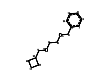 [c]1ccc(COCCOCC2CCC2)cc1